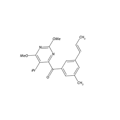 C/C=C/c1cc(C)cc(C(=O)c2nc(OC)nc(OC)c2C(C)C)c1